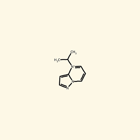 CC(C)[n+]1cccn2nccc21